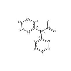 [CH2]C(=C)P(c1ccccc1)c1ccccc1